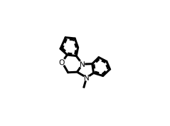 CN1c2ccccc2N2c3ccccc3OCC12